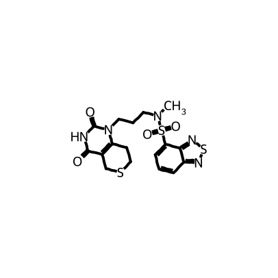 CN(CCCn1c2c(c(=O)[nH]c1=O)CSCC2)S(=O)(=O)c1cccc2nsnc12